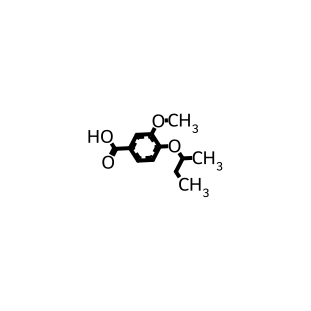 CCC(C)Oc1ccc(C(=O)O)cc1OC